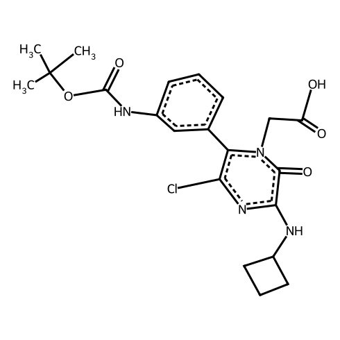 CC(C)(C)OC(=O)Nc1cccc(-c2c(Cl)nc(NC3CCC3)c(=O)n2CC(=O)O)c1